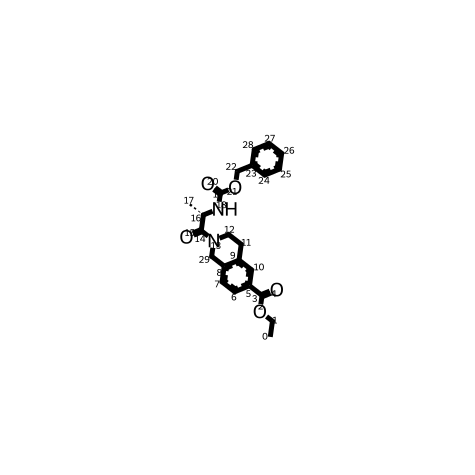 CCOC(=O)c1ccc2c(c1)CCN(C(=O)[C@H](C)NC(=O)OCc1ccccc1)C2